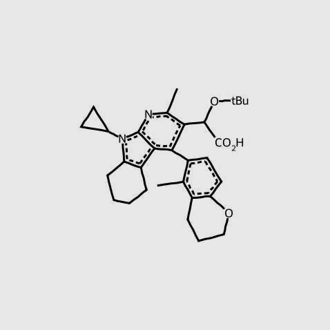 Cc1nc2c(c3c(n2C2CC2)CCCC3)c(-c2ccc3c(c2C)CCCO3)c1C(OC(C)(C)C)C(=O)O